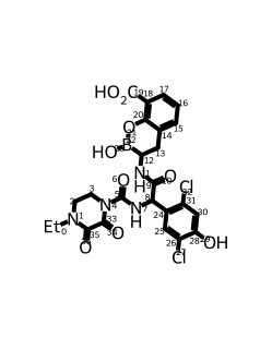 CCN1CCN(C(=O)NC(C(=O)NC2Cc3cccc(C(=O)O)c3OB2O)c2cc(Cl)c(O)cc2Cl)C(=O)C1=O